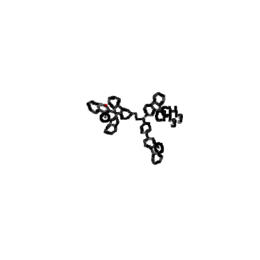 CC1(C)c2ccccc2-c2ccc(C(CCc3ccc4c(c3)-c3ccccc3C43c4ccc5ccccc5c4Oc4c3ccc3ccccc43)c3ccc(-c4ccc5c(c4)oc4ccccc45)cc3)cc21